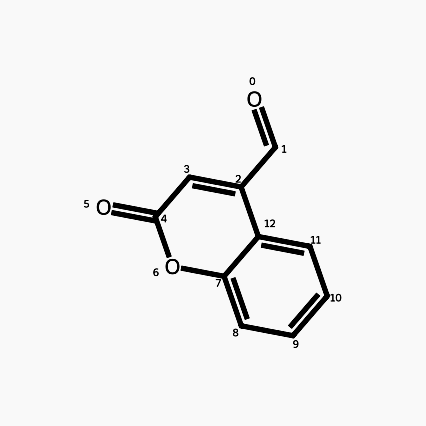 O=Cc1cc(=O)oc2ccccc12